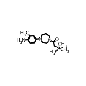 Cc1cc(N2CCCN(C(=O)C[Si](C)(C)C)CC2)ccc1N